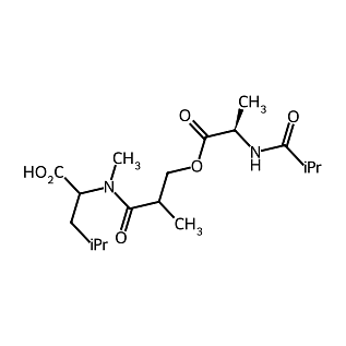 CC(C)CC(C(=O)O)N(C)C(=O)C(C)COC(=O)[C@@H](C)NC(=O)C(C)C